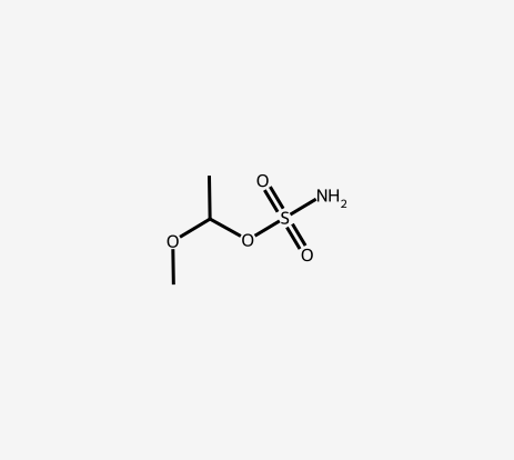 COC(C)OS(N)(=O)=O